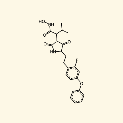 CC(C)C(C(=O)NO)N1C(=O)NC(CCc2ccc(Oc3ccccc3)cc2F)C1=O